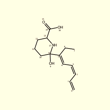 C=C/C=C\C=C(/CC)C1(O)CCCC(C(=O)O)N1